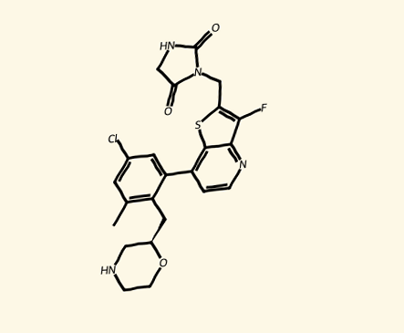 Cc1cc(Cl)cc(-c2ccnc3c(F)c(CN4C(=O)CNC4=O)sc23)c1C[C@@H]1CNCCO1